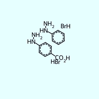 Br.Br.NNc1ccc(C(=O)O)cc1.NNc1ccccc1